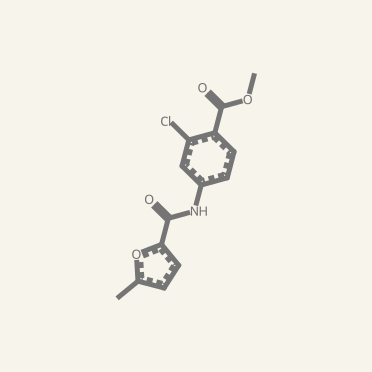 COC(=O)c1ccc(NC(=O)c2ccc(C)o2)cc1Cl